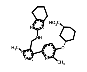 Cc1nc(-c2nnn(C)c2CNc2nc3c(s2)CCCC3)ccc1O[C@H]1CCC[C@H](C(=O)O)C1